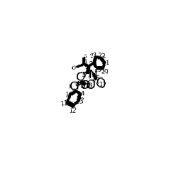 CC(C)c1c(OC(=O)Oc2ccccc2)n(C(=O)O)c2ccccc12